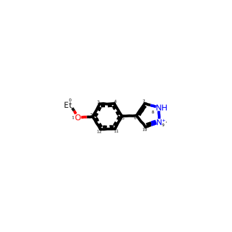 CCOc1ccc(C2=CN[N+]=C2)cc1